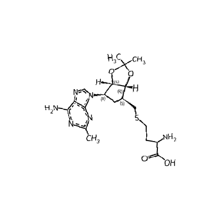 Cc1nc(N)c2ncn([C@@H]3C[C@H](CSCCC(N)C(=O)O)[C@H]4OC(C)(C)O[C@H]43)c2n1